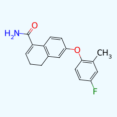 Cc1cc(F)ccc1Oc1ccc2c(c1)CCC=C2C(N)=O